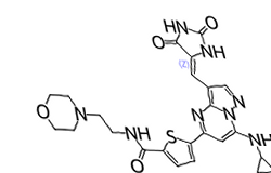 O=C1NC(=O)/C(=C/c2cnn3c(NC4CC4)cc(-c4ccc(C(=O)NCCN5CCOCC5)s4)nc23)N1